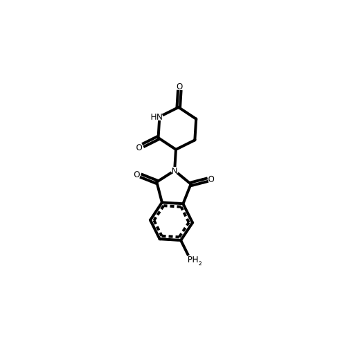 O=C1CCC(N2C(=O)c3ccc(P)cc3C2=O)C(=O)N1